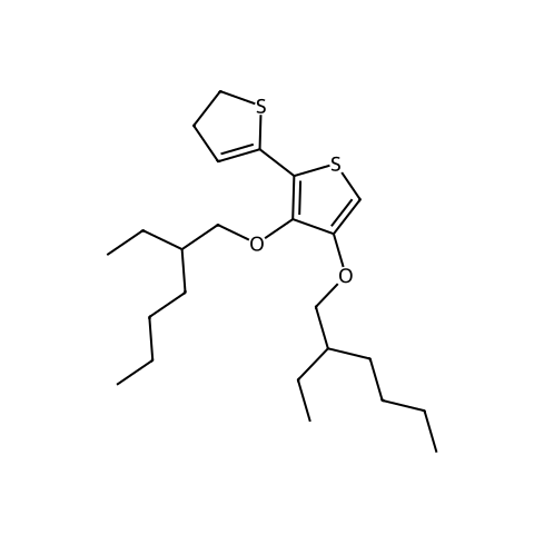 CCCCC(CC)COc1csc(C2=CCCS2)c1OCC(CC)CCCC